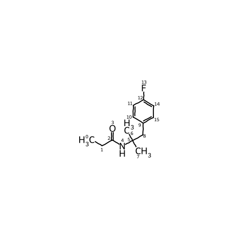 CCC(=O)NC(C)(C)Cc1ccc(F)cc1